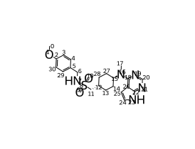 COc1ccc(CNS(=O)(=O)C[C@H]2CC[C@H](N(C)c3ncnc4[nH]ccc34)CC2)cc1